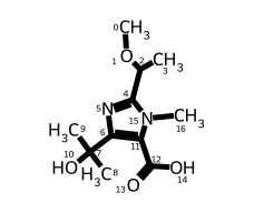 COC(C)c1nc(C(C)(C)O)c(C(=O)O)n1C